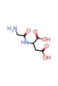 NCC(=O)NC(CC(=O)O)C(=O)O